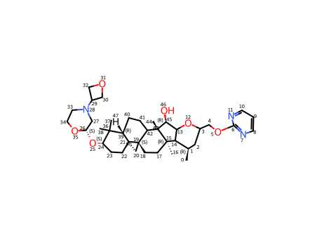 C[C@@H]1CC(COc2ncccn2)OC2C1[C@@]1(C)CC[C@@]34C[C@@]35CC[C@H](O[C@H]3CN(C6COC6)CCO3)C(C)(C)[C@@H]5CCC4[C@]1(C)[C@H]2O